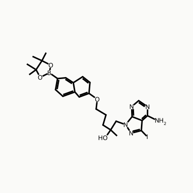 CC(O)(CCCOc1ccc2cc(B3OC(C)(C)C(C)(C)O3)ccc2c1)Cn1nc(I)c2c(N)ncnc21